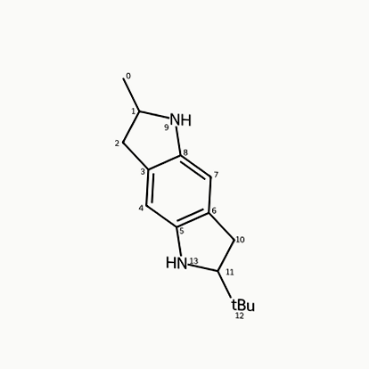 CC1Cc2cc3c(cc2N1)CC(C(C)(C)C)N3